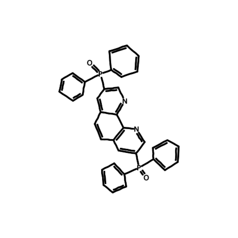 O=P(c1ccccc1)(c1ccccc1)c1cnc2c(ccc3cc(P(=O)(c4ccccc4)c4ccccc4)cnc32)c1